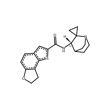 O=C(N[C@H]1C2CCN(CC2)C12CC2)c1cc2ccc3c(c2s1)CCO3